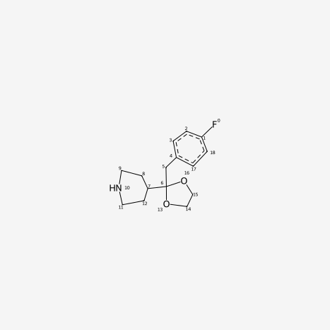 Fc1ccc(CC2(C3CCNCC3)OCCO2)cc1